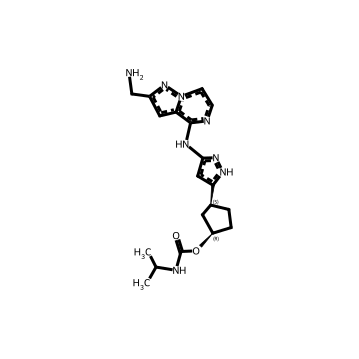 CC(C)NC(=O)O[C@@H]1CC[C@H](c2cc(Nc3nccn4nc(CN)cc34)n[nH]2)C1